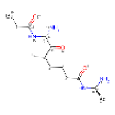 CC(=O)[C@H](N)NC(=O)CCCC(C)C(=O)[C@@H](N)NC(=O)CC(C)(C)C